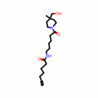 C#CCCCCC(=O)NCCCCCC(=O)N1CCC(C)(CO)CC1